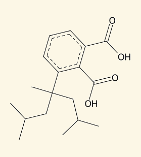 CC(C)CC(C)(CC(C)C)c1cccc(C(=O)O)c1C(=O)O